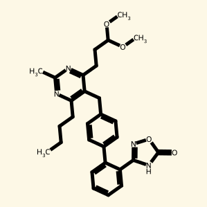 CCCCc1nc(C)nc(CCC(OC)OC)c1Cc1ccc(-c2ccccc2-c2noc(=O)[nH]2)cc1